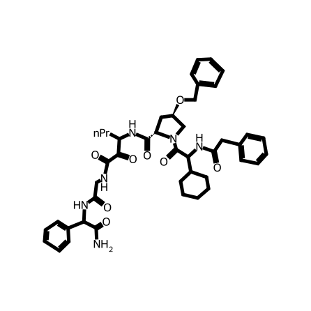 CCCC(NC(=O)[C@@H]1C[C@@H](OCc2ccccc2)CN1C(=O)C(NC(=O)Cc1ccccc1)C1CCCCC1)C(=O)C(=O)NCC(=O)NC(C(N)=O)c1ccccc1